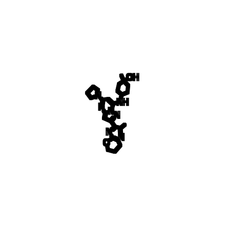 Cc1nc2c(nc1-c1cc3nc(N4CCCC4)cc(NC4CCC(C)(O)CC4)n3n1)OCCC2